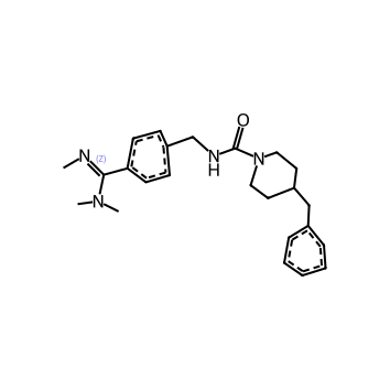 C/N=C(/c1ccc(CNC(=O)N2CCC(Cc3ccccc3)CC2)cc1)N(C)C